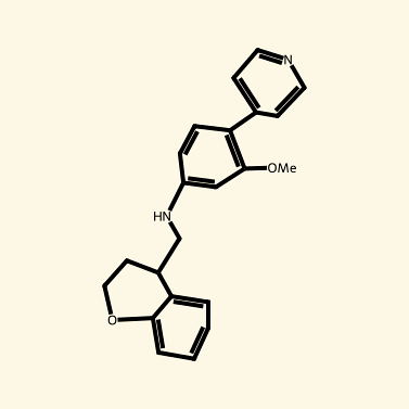 COc1cc(NCC2CCOc3ccccc32)ccc1-c1ccncc1